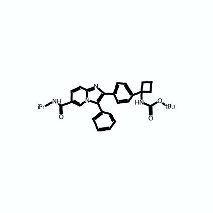 CC(C)NC(=O)c1ccc2nc(-c3ccc(C4(NC(=O)OC(C)(C)C)CCC4)cc3)c(-c3ccccc3)n2c1